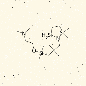 CN(C)CCO[Si](C)(C)CC(C)(C)CN1[SiH2]CC[Si]1(C)C